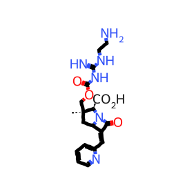 C[C@@]1(COC(=O)NC(=N)NCCN)CC2/C(=C\c3ccccn3)C(=O)N2[C@H]1C(=O)O